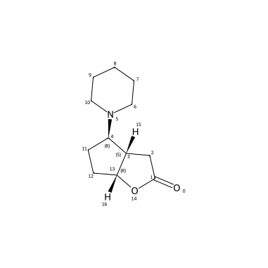 O=C1C[C@H]2[C@H](N3CCCCC3)CC[C@H]2O1